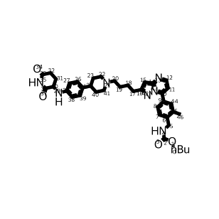 CCCCOC(=O)NCc1ccc(-c2ccnc3cc(CCCCN4CCC(c5ccc(NC6CCC(=O)NC6=O)cc5)CC4)nn23)cc1C